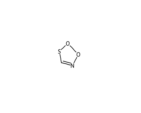 C1=NOOS1